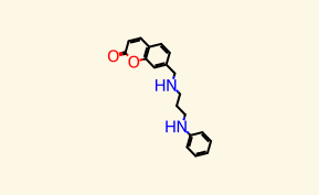 O=c1ccc2ccc(CNCCCNc3ccccc3)cc2o1